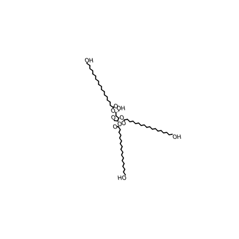 O=C(CCCCCCCCCCCCCCCCCO)O[C@H]1[C@@H]([C@@H](CO)OC(=O)CCCCCCCCCCCCCCCCCO)OC[C@@H]1OC(=O)CCCCCCCCCCCCCCCCCO